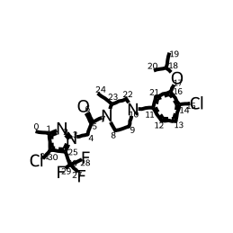 Cc1nn(CC(=O)N2CCN(c3ccc(Cl)c(OC(C)C)c3)CC2C)c(C(F)(F)F)c1Cl